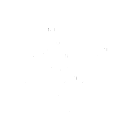 CC(=O)N(CC(=O)N(CCCCN)CC(=O)N(CC(N)=O)Cc1ccccc1)Cc1ccccc1